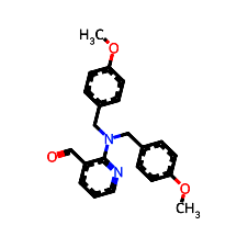 COc1ccc(CN(Cc2ccc(OC)cc2)c2ncccc2C=O)cc1